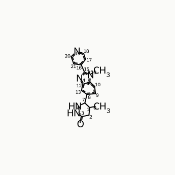 CC1CC(=O)NNC1c1ccc2c(c1)nc(-c1ccncc1)n2C